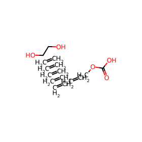 C=C.C=C.C=C.C=C.C=C.C=C.COC(=O)O.OCCO